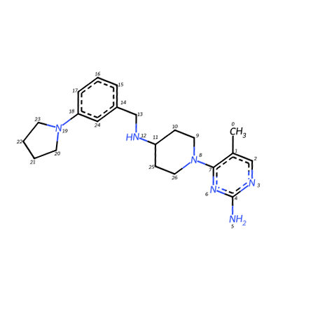 Cc1cnc(N)nc1N1CCC(NCc2cccc(N3CCCC3)c2)CC1